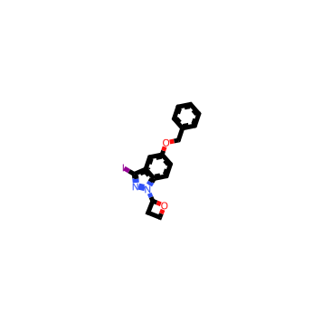 Ic1nn(C2CCO2)c2ccc(OCc3ccccc3)cc12